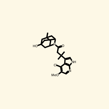 COc1cnc2[nH]cc(C(C)(C)CC(=O)N3C4CC5(C)CC3CC(O)(C4)C5)c2c1Cl